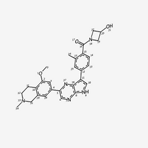 COc1cc(-c2cnc3[nH]cc(-c4ccc(C(=O)N5CC(O)C5)c(C)c4)c3n2)cc2c1CCN(C)C2